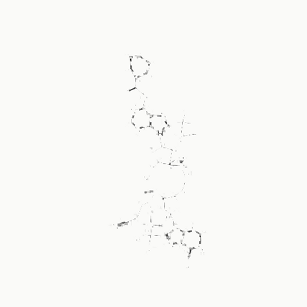 CC(C)(C)[Si](C)(C)O[C@H]1C(n2cnc3c(NC(=O)c4ccccc4)ncnc32)OC2COP(=S)(OCCC#N)[C@@H]3C(COP(=O)(S)[C@H]21)OC(n1cnc2c(=O)[nH]cnc21)[C@@H]3O[Si](C)(C)C(C)(C)C